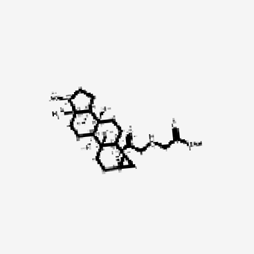 COC(=O)CNCC(=O)O[C@]12CC[C@@]3(C)[C@@H](CC[C@@H]4[C@@H]3CC[C@]3(C)[C@@H](C(C)=O)CC[C@@H]43)C1C2